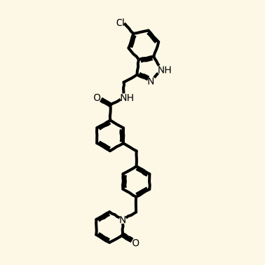 O=C(NCc1n[nH]c2ccc(Cl)cc12)c1cccc(Cc2ccc(Cn3ccccc3=O)cc2)c1